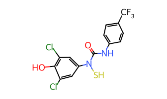 O=C(Nc1ccc(C(F)(F)F)cc1)N(S)c1cc(Cl)c(O)c(Cl)c1